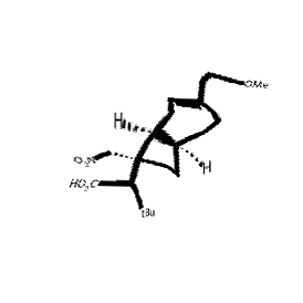 COCC1=C[C@H]2[C@@H](C1)C[C@@]2(C[N+](=O)[O-])C(C(=O)O)C(C)(C)C